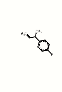 C=C[C@@H](C)c1ccc(F)cn1